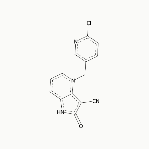 N#Cc1c2n(Cc3ccc(Cl)nc3)cccc-2[nH]c1=O